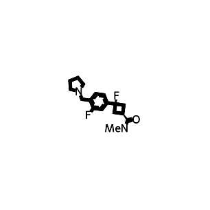 CNC(=O)[C@H]1C[C@](F)(c2ccc(CN3CCCC3)c(F)c2)C1